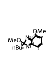 CCCCC1(OC)N=c2cccc(OC)c2=N1